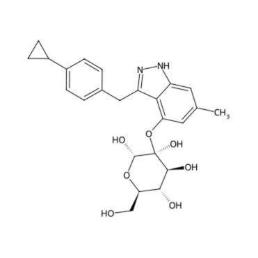 Cc1cc(O[C@]2(O)[C@@H](O)O[C@H](CO)[C@@H](O)[C@@H]2O)c2c(Cc3ccc(C4CC4)cc3)n[nH]c2c1